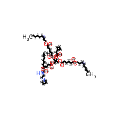 CCCCC/C=C\CCOC(=O)CCCCC(=O)OCC(COC(=O)CCCCC(=O)OCC/C=C\CCCCC)(COC(=O)CCC(CCCCCC)OC(=O)NCCN1CCCC1)COC(=O)CC1CCC1